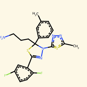 Cc1cccc(C2(CCCN)SC(c3cc(F)ccc3F)=NN2c2nnc(C)s2)c1